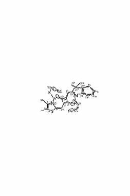 CCCCCCCCCCCCN1C(C)=C(C)S/C1=C/C1=C(O)C(=C\C2=[N+](CCCCCCCCCCCC)c3ccccc3C2(C)C)/C1=O